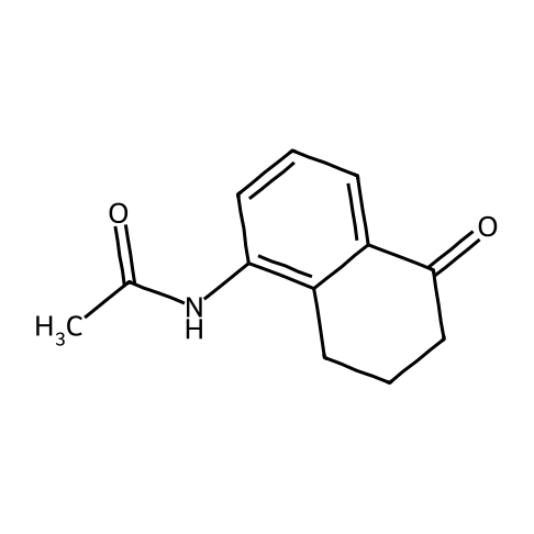 CC(=O)Nc1cccc2c1CCCC2=O